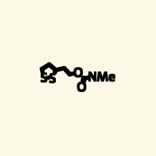 CNC(=O)OCCC1CCSS1